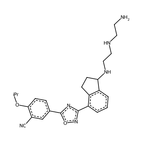 CC(C)Oc1ccc(-c2nc(-c3cccc4c3CCC4NCCNCCN)no2)cc1C#N